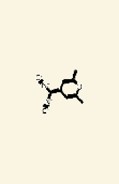 [C-]#[N+]C([N+]#[C-])=C1C=C(C)OC(C)=C1